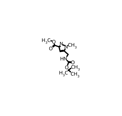 COC(=O)c1cc(CNC(=O)OC(C)(C)C)n(C)n1